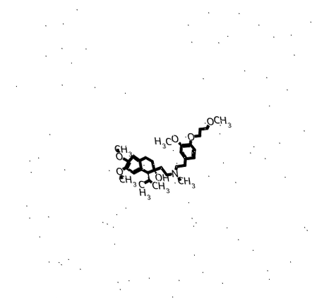 COCCCOc1ccc(CCN(C)CC[C@@]2(O)CCc3cc(OC)c(OC)cc3[C@@H]2C(C)C)cc1OC